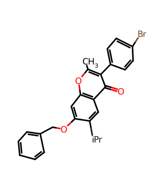 Cc1oc2cc(OCc3ccccc3)c(C(C)C)cc2c(=O)c1-c1ccc(Br)cc1